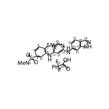 CNS(=O)(=O)c1ccc(SC)c(Nc2cc(Nc3ccc4cn[nH]c4c3)ncn2)c1.O=C(O)C(F)(F)F